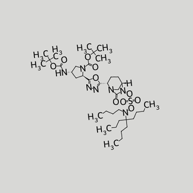 CCCCN(OS(=O)(=O)ON1C(=O)N2C[C@@H]1CC[C@H]2c1nnc([C@H]2C[C@H](NC(=O)OC(C)(C)C)CN2C(=O)OC(C)(C)C)o1)C(CCC)(CCCC)CCCC